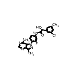 Cc1cc(Cl)cc(C(O)C(=O)Nc2ccc(-n3nc(C)c4ncnc(N)c43)c(F)c2)c1